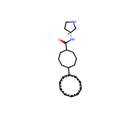 O=C(N[C@@H]1CCNC1)C1CCCC(c2ccccccccc2)CCC1